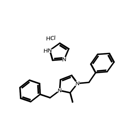 CC1N(Cc2ccccc2)C=CN1Cc1ccccc1.Cl.c1c[nH]cn1